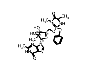 COC(=O)C(C)NP(=S)(OC[C@H]1O[C@@H](n2cnc3c(=O)[nH]c(C)nc32)[C@](C)(O)[C@@H]1O)Oc1ccccc1